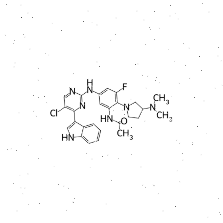 CC(=O)Nc1cc(Nc2ncc(Cl)c(-c3c[nH]c4ccccc34)n2)cc(F)c1N1CCC(N(C)C)C1